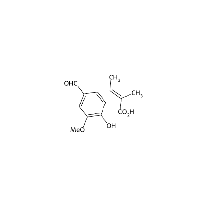 CC=C(C)C(=O)O.COc1cc(C=O)ccc1O